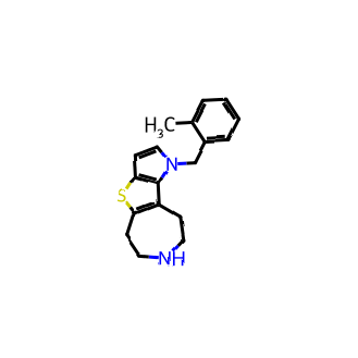 Cc1ccccc1Cn1ccc2sc3c(c21)CCNCC3